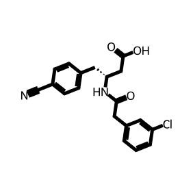 N#Cc1ccc(C[C@H](CC(=O)O)NC(=O)Cc2cccc(Cl)c2)cc1